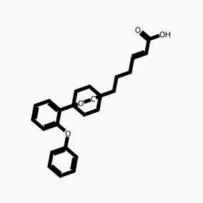 O=C(O)C=CCCCC12CCC(c3ccccc3Oc3ccccc3)(CC1)OC2